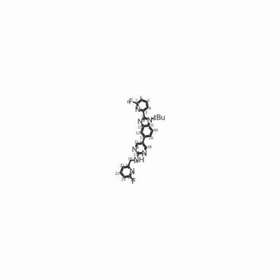 CC(C)(C)n1c(-c2cccc(F)n2)nc2cc(-c3cnc(NCc4cccc(F)n4)nc3)ccc21